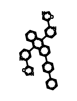 c1ccc(-c2ccc(-c3ccc4c(-c5ccnc(-c6cnco6)c5)c5ccccc5c(-c5ccnc(-c6cnco6)c5)c4c3)cc2)cc1